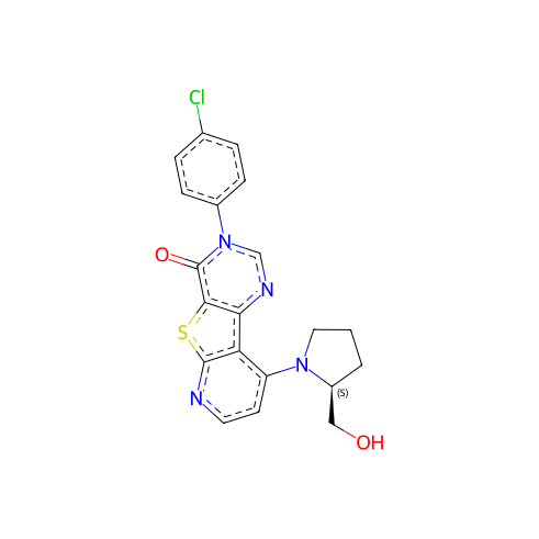 O=c1c2sc3nccc(N4CCC[C@H]4CO)c3c2ncn1-c1ccc(Cl)cc1